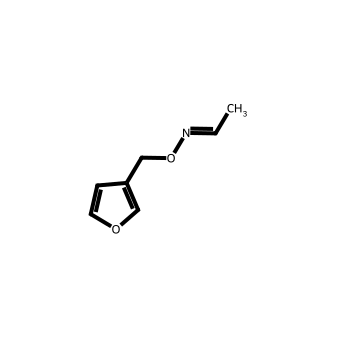 C/C=N/OCc1ccoc1